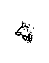 CN(C)C1=NC(=O)C(Cc2cccc(-c3ccc(O)c(C45CC6CC(CC(C6)C4)C5)c3)c2)S1